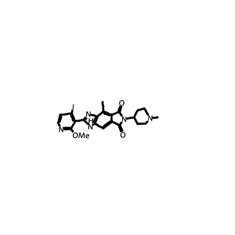 COc1nccc(I)c1-c1nc2c(C)c3c(cc2[nH]1)C(=O)N(C1CCN(C)CC1)C3=O